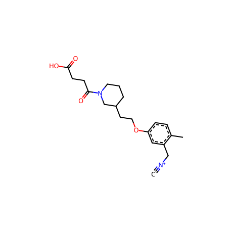 [C-]#[N+]Cc1cc(OCCC2CCCN(C(=O)CCC(=O)O)C2)ccc1C